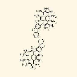 Bc1c(B)c2c(B)c(B)c3c(B)c(B)c(-c4ccc5oc6ccc(-c7ccc8oc9ccc(-c%10c(B)c(B)c%11c(B)c(B)c%12c(B)c(B)c(B)c%13c(B)c(B)c%10c%11c%12%13)cc9c8c7)cc6c5c4)c4c(B)c(B)c(c1B)c2c34